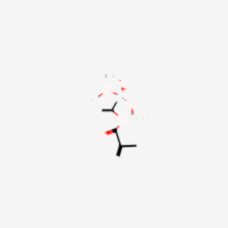 C=C(C)C(=O)OC(C)[Si](OCCCC)(OCCCC)OCCCC